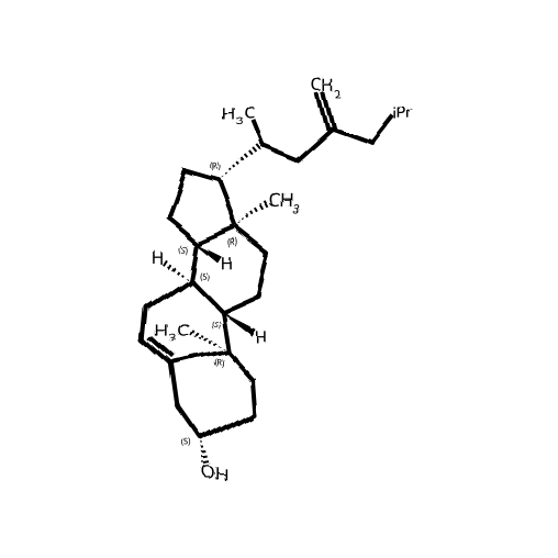 C=C(CC(C)C)CC(C)[C@H]1CC[C@H]2[C@@H]3CC=C4C[C@@H](O)CC[C@]4(C)[C@H]3CC[C@]12C